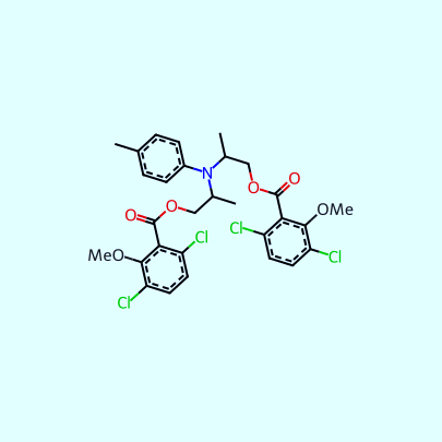 COc1c(Cl)ccc(Cl)c1C(=O)OCC(C)N(c1ccc(C)cc1)C(C)COC(=O)c1c(Cl)ccc(Cl)c1OC